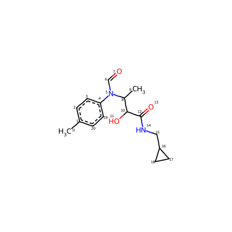 Cc1ccc(N(C=O)C(C)C(O)C(=O)NCC2CC2)cc1